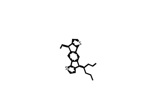 C/C=C1\c2cc3c(cc2-c2sccc21)C(=C(CCC)CCC)c1ccsc1-3